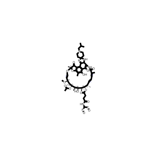 CO[C@H]1/C=C/O[C@@]2(C)Oc3c(C)c(O)c4c(c3C2=O)C2=NC3(CCN(CC(C)C)CC3)NC2C(=C4O)NC(=O)/C(C)=C\C=C\[C@H](C)[C@H](OC(=O)CCC(=O)NC(P=O)P=O)[C@@H](C)[C@@H](O)[C@@H](C)[C@H](OC(C)=O)[C@@H]1C